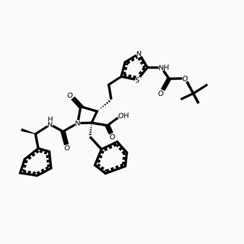 C[C@@H](NC(=O)N1C(=O)[C@H](CCc2cnc(NC(=O)OC(C)(C)C)s2)[C@@]1(Cc1ccccc1)C(=O)O)c1ccccc1